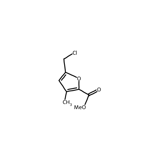 COC(=O)c1oc(CCl)cc1C